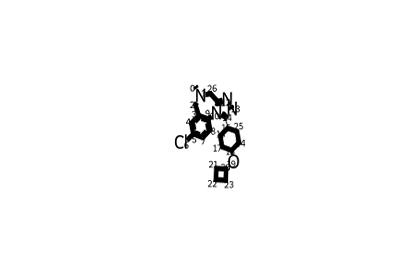 CN1Cc2cc(Cl)ccc2-n2c(nnc2[C@H]2CC[C@H](OC3CCC3)CC2)C1